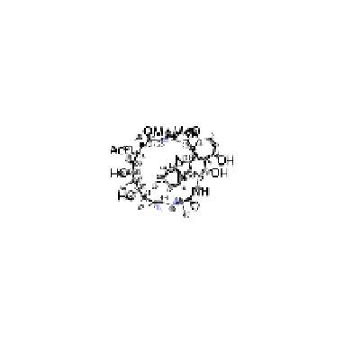 COC1C#CC(O)=c2c(O)c3c4c(nc5cc(C)ccn54)c2=C1C(=O)C/C=C/[C@H](OC)[C@@H](C)[C@@H](OC(C)=O)[C@H](C)[C@H](O)[C@H](C)[C@@H](O)[C@@H](C)/C=C/C=C(/C)C(=O)N3